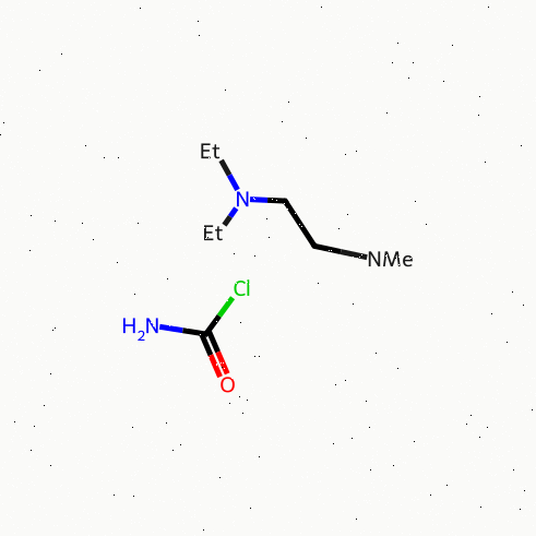 CCN(CC)CCNC.NC(=O)Cl